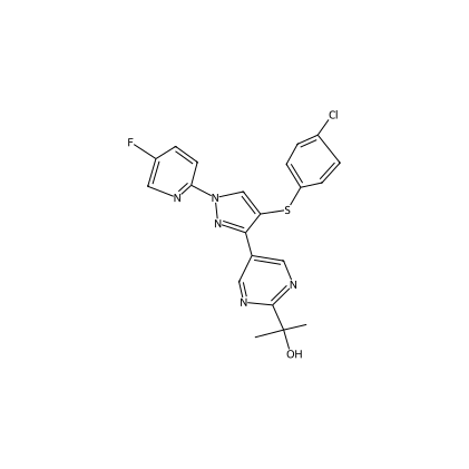 CC(C)(O)c1ncc(-c2nn(-c3ccc(F)cn3)cc2Sc2ccc(Cl)cc2)cn1